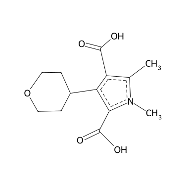 Cc1c(C(=O)O)c(C2CCOCC2)c(C(=O)O)n1C